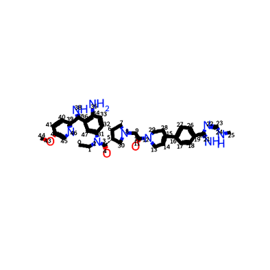 CCN(C(=O)[C@@H]1CCN(CC(=O)N2CC=C(c3ccc(C(=N)/N=C\NC)cc3)CC2)C1)c1ccc(N)c(C(=N)c2ccc(OC)cn2)c1